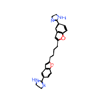 c1cc2oc(CCCCc3cc4cc(C5=NCCN5)ccc4o3)cc2cc1C1=NCCN1